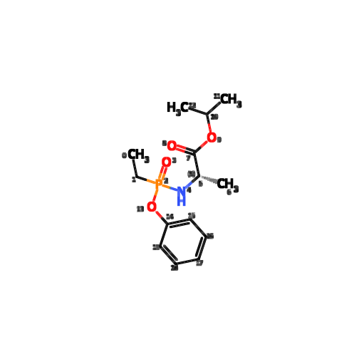 CCP(=O)(N[C@@H](C)C(=O)OC(C)C)Oc1ccccc1